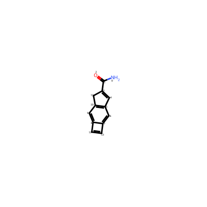 NC(=O)C1=Cc2cc3c(cc2C1)C=C3